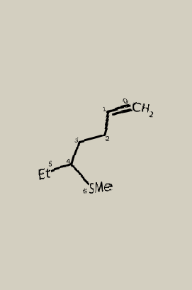 C=CCCC(CC)SC